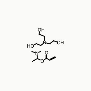 C=CC(=O)OC(C)N(C)C.OCCN(CCO)CCO